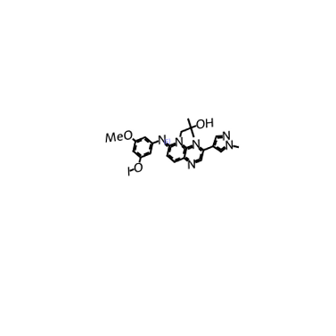 COc1cc(/N=c2\ccc3ncc(-c4cnn(C)c4)nc3n2CC(C)(C)O)cc(OI)c1